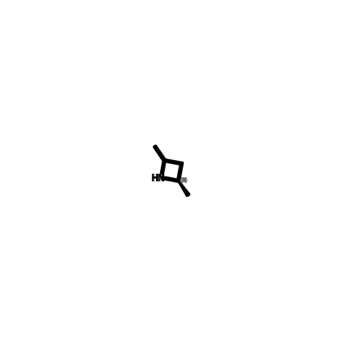 CC1C[C@@H](C)N1